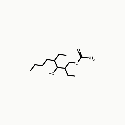 CCCCC(CC)C(O)C(CC)COC(N)=O